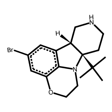 CC(C)(C)[C@]12CCNC[C@H]1c1cc(Br)cc3c1N2CCO3